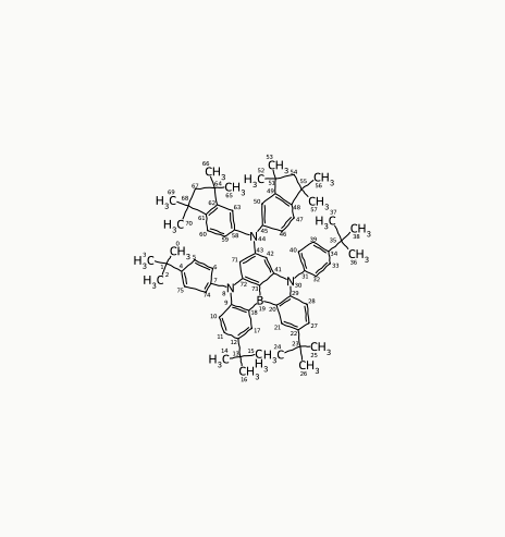 CC(C)(C)c1ccc(N2c3ccc(C(C)(C)C)cc3B3c4cc(C(C)(C)C)ccc4N(c4ccc(C(C)(C)C)cc4)c4cc(N(c5ccc6c(c5)C(C)(C)CC6(C)C)c5ccc6c(c5)C(C)(C)CC6(C)C)cc2c43)cc1